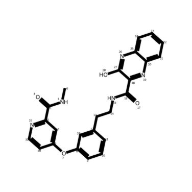 CNC(=O)c1cc(Oc2cccc(CCNC(=O)c3nc4ccccc4nc3O)c2)ccn1